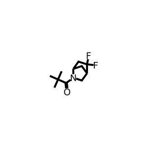 CC(C)(C)C(=O)N1CC2CC1CC2(F)F